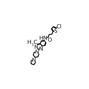 Cc1nc(N2CCC(N3CCCC3)CC2)nc2ccc(NC(=O)CCc3ccc(Cl)s3)cc12